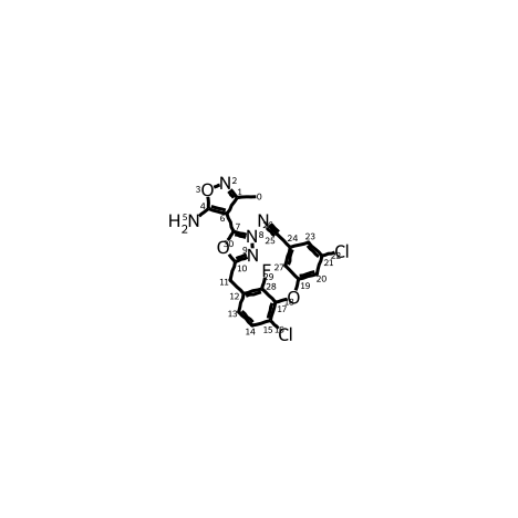 Cc1noc(N)c1-c1nnc(Cc2ccc(Cl)c(Oc3cc(Cl)cc(C#N)c3)c2F)o1